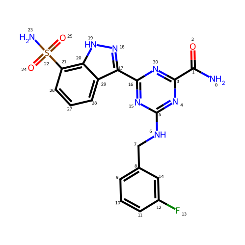 NC(=O)c1nc(NCc2cccc(F)c2)nc(-c2n[nH]c3c(S(N)(=O)=O)cccc23)n1